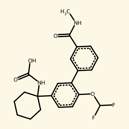 CNC(=O)c1cccc(-c2cc(C3(NC(=O)O)CCCCC3)ccc2OC(F)F)c1